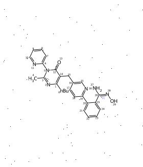 CCCCc1nc(C)n(-c2ccccn2)c(=O)c1Cc1ccc(-c2ccccc2/C(N)=N\O)nc1